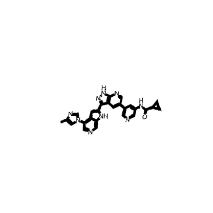 Cc1cn(-c2cncc3[nH]c(-c4n[nH]c5ncc(-c6cncc(NC(=O)C7CC7)c6)cc45)cc23)cn1